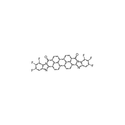 O=c1c2ccc3c4ccc5c(=O)n6c(nc7cc(F)c(F)c(F)c76)c6ccc(c7ccc(c2c37)c2nc3cc(F)c(F)c(F)c3n12)c4c56